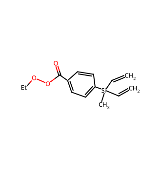 [CH2]COOC(=O)c1ccc([Si](C)(C=C)C=C)cc1